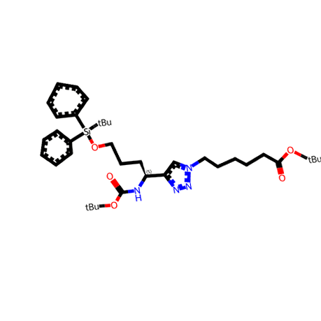 CC(C)(C)OC(=O)CCCCCn1cc([C@H](CCCO[Si](c2ccccc2)(c2ccccc2)C(C)(C)C)NC(=O)OC(C)(C)C)nn1